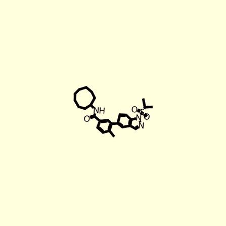 Cc1ccc(C(=O)NC2CCCCCCCC2)cc1-c1ccc2c(cnn2S(=O)(=O)C(C)C)c1